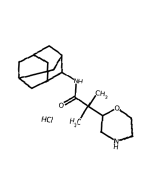 CC(C)(C(=O)NC1C2CC3CC(C2)CC1C3)C1CNCCO1.Cl